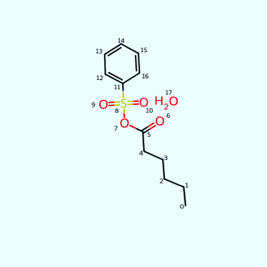 CCCCCC(=O)OS(=O)(=O)c1ccccc1.O